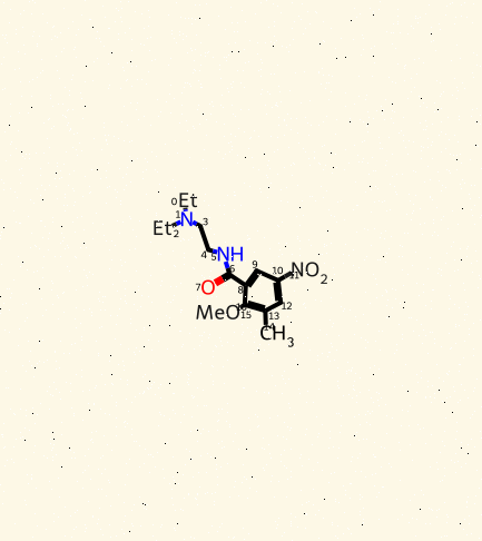 CCN(CC)CCNC(=O)c1cc([N+](=O)[O-])cc(C)c1OC